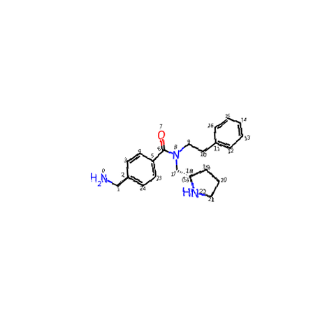 NCc1ccc(C(=O)N(CCc2ccccc2)C[C@@H]2CCCN2)cc1